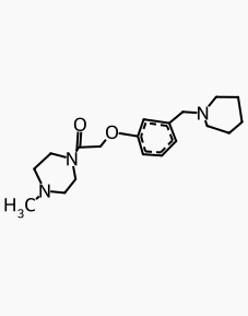 CN1CCN(C(=O)COc2cccc(CN3CCCCC3)c2)CC1